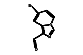 O=Cc1ncn2ccc(Br)cc12